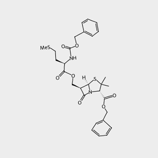 CSCC[C@@H](NC(=O)OCc1ccccc1)C(=O)OC[C@@H]1C(=O)N2[C@@H]1SC(C)(C)[C@@H]2C(=O)OCc1ccccc1